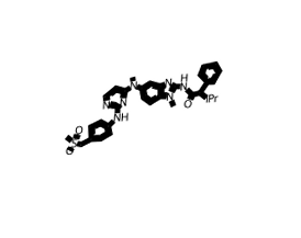 CC(C)C(C(=O)Nc1nc2cc(N(C)c3ccnc(Nc4ccc(CS(C)(=O)=O)cc4)n3)ccc2n1C)c1ccccc1